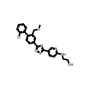 COCc1cc(-c2nc(-c3ccc(NCCO)nc3)no2)ccc1-c1ccccc1Cl